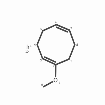 COC1=CCCC=CCC1.[Ir+]